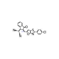 N#CC(C#N)=C1/C(=C/c2cc3sc(-c4ccc(Cl)cc4)nc3o2)C(=O)c2ccccc21